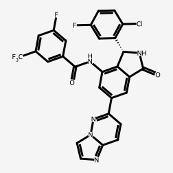 O=C(Nc1cc(-c2ccc3nccn3n2)cc2c1[C@H](c1cc(F)ccc1Cl)NC2=O)c1cc(F)cc(C(F)(F)F)c1